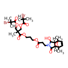 CC(C)(Br)C(=O)OCC(C)(COC(=O)C(C)(C)Br)C(=O)OCCCOC(=O)CCN1C(=O)[C@@H]2[C@H](C1O)C1(C)C=CC2(C)O1